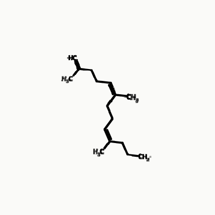 [CH]=C(C)CCC=C(C)CCC=C(C)CC[CH2]